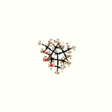 BrC(Br)(Br)C([C](C(C(Br)(Br)Br)(C(Br)(Br)Br)C(Br)(Br)Br)C(C(Br)(Br)Br)(C(Br)(Br)Br)C(Br)(Br)Br)(C(Br)(Br)Br)C(Br)(Br)Br